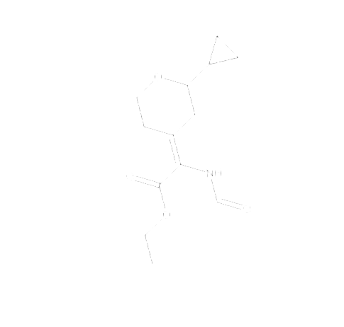 CCOC(=O)/C(NC=O)=C1\CCOC(C2CC2)C1